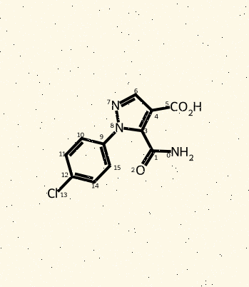 NC(=O)c1c(C(=O)O)cnn1-c1ccc(Cl)cc1